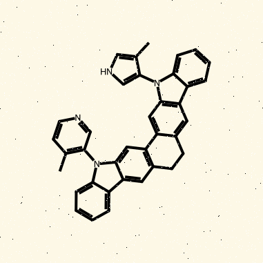 Cc1ccncc1-n1c2ccccc2c2cc3c(cc21)-c1cc2c(cc1CC3)c1ccccc1n2-c1c[nH]cc1C